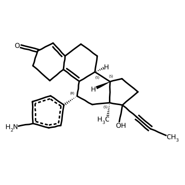 CC#CC1(O)CC[C@H]2[C@@H]3CCC4=CC(=O)CCC4=C3[C@@H](c3ccc(N)cc3)C[C@@]21C